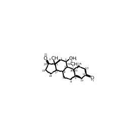 CC12CC(O)C3C(CCC4=CC(=O)CC[C@@]43C)C1CCC2=O